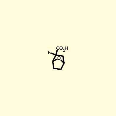 O=C(O)C1(F)CC2CCC1O2